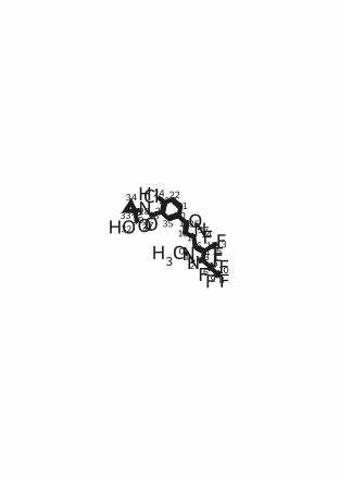 Cn1nc(C(F)(F)C(F)(F)F)c(C(F)(F)F)c1-c1cc(-c2ccc(Cl)c(C(=O)NC3(C(=O)O)CC3)c2)on1